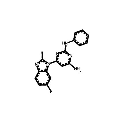 Cc1nc2ccc(F)cc2n1-c1cc(N)nc(Nc2ccccc2)n1